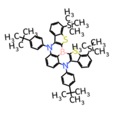 CC(C)(C)c1ccc(N2c3cccc4c3B(c3sc5c([Si](C)(C)C)cccc5c32)c2sc3c([Si](C)(C)C)cccc3c2N4c2ccc(C(C)(C)C)cc2)cc1